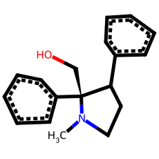 CN1CCC(c2ccccc2)[C@@]1(CO)c1ccccc1